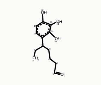 CCC(CCCC=O)c1ccc(O)c(O)c1O